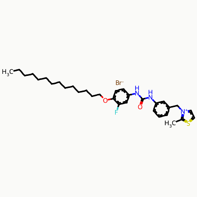 CCCCCCCCCCCCCCOc1ccc(NC(=O)Nc2cccc(C[n+]3ccsc3C)c2)cc1F.[Br-]